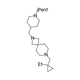 CCCC(C)N1CCC(CN2CC3(CCN(CC4(CC)CC4)CC3)C2)CC1